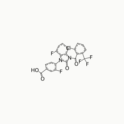 O=C(O)c1ccc(-n2c(=O)n(C(=O)c3c(Cl)cccc3C(F)(F)F)c3cccc(F)c32)c(F)c1